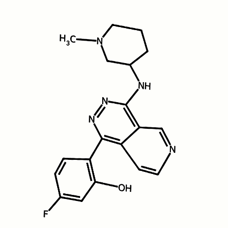 CN1CCCC(Nc2nnc(-c3ccc(F)cc3O)c3ccncc23)C1